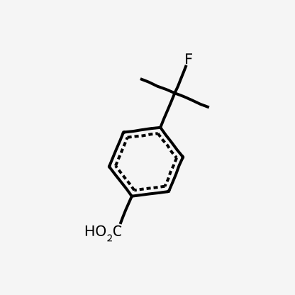 CC(C)(F)c1ccc(C(=O)O)cc1